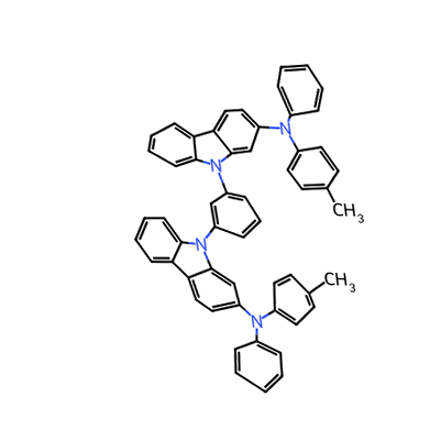 Cc1ccc(N(c2ccccc2)c2ccc3c4ccccc4n(-c4cccc(-n5c6ccccc6c6ccc(N(c7ccccc7)c7ccc(C)cc7)cc65)c4)c3c2)cc1